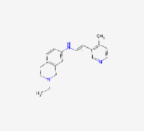 CCN1CCc2ccc(N/C=C/c3cnccc3C)cc2C1